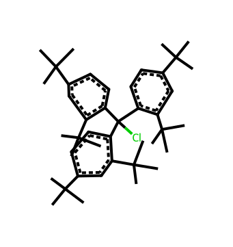 CC(C)(C)c1ccc(C(Cl)(c2ccc(C(C)(C)C)cc2C(C)(C)C)c2ccc(C(C)(C)C)cc2C(C)(C)C)c(C(C)(C)C)c1